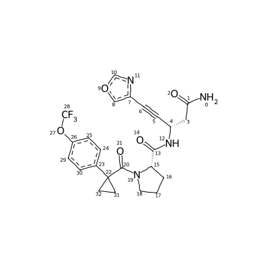 NC(=O)C[C@@H](C#Cc1cocn1)NC(=O)[C@@H]1CCCN1C(=O)C1(c2ccc(OC(F)(F)F)cc2)CC1